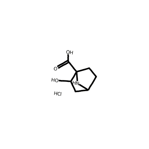 Cl.O=C(O)C12CCC(CC1O)N2